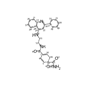 NC(=O)C1(O)C=CC(C(=O)NCCNc2cc(-c3ccccc3)nc3ccccc23)=CC1